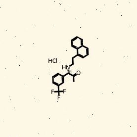 CC(=O)[C@H](NCCc1cccc2ccccc12)c1cccc(C(F)(F)F)c1.Cl